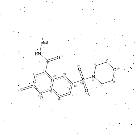 CCCCNC(=O)c1cc(=O)[nH]c2ccc(S(=O)(=O)N3CCOCC3)cc12